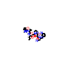 CC[C@H](C)[C@@H]([C@@H](CC(=O)N1CCC[C@H]1[C@H](OC)[C@@H](C)C(=O)N[C@H](CC#N)Cc1cccc(N)c1)OC)N(C)C(=O)[C@@H](NC(=O)C1(N(C)C)CCC1)C(C)C